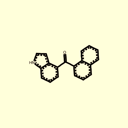 O=C(c1cccc2ccccc12)c1cccc2[nH]ccc12